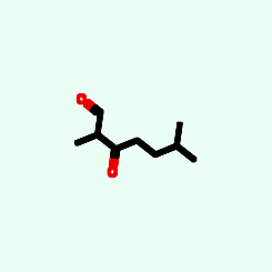 CC(C)CCC(=O)C(C)C=O